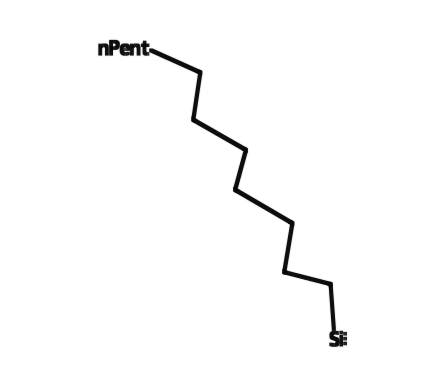 CCCCCCCCCCCC[Si]